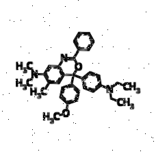 CCN(CC)c1ccc(C2(c3ccc(OC)cc3)OC(c3ccccc3)=Nc3cc(N(C)C)c(C)cc32)cc1